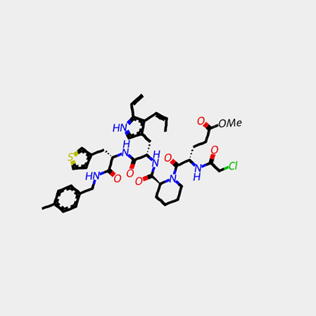 C=Cc1[nH]cc(C[C@H](NC(=O)[C@@H]2CCCCN2C(=O)[C@H](CCC(=O)OC)NC(=O)CCl)C(=O)N[C@@H](Cc2ccsc2)C(=O)NCc2ccc(C)cc2)c1/C=C\C